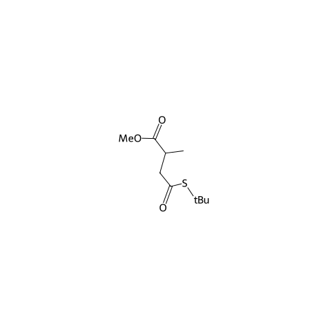 COC(=O)C(C)CC(=O)SC(C)(C)C